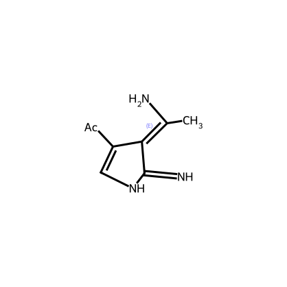 CC(=O)C1=CNC(=N)/C1=C(\C)N